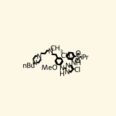 CCCCN1CCN(CCCN(C)CCc2cc(OC)c(Nc3ncc(Cl)c(Nc4ccccc4S(=O)(=O)C(C)C)n3)cc2C)CC1